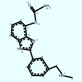 CNCc1cccc(-c2nc3c(OC(N)=O)cccc3[nH]2)c1